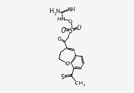 CC(=S)c1cccc2c1OCCC(C(=O)CS(=O)(=O)ONC(=N)N)=C2